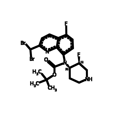 CC(C)(C)OC(=O)N(c1ccc(F)c2ccc(C(Br)Br)nc12)[C@@H]1CCNC[C@@H]1F